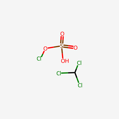 ClC(Cl)Cl.O=S(=O)(O)OCl